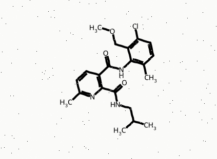 COCc1c(Cl)ccc(C)c1NC(=O)c1ccc(C)nc1C(=O)NCC(C)C